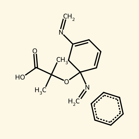 C=NC1=CC=CC(N=C)(OC(C)(C)C(=O)O)C1.c1ccccc1